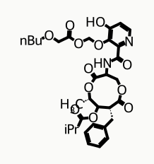 CCCCOCC(=O)OCOc1c(O)ccnc1C(=O)NC1COC(=O)[C@H](Cc2ccccc2)C(OC(=O)C(C)C)[C@H](C)OC1=O